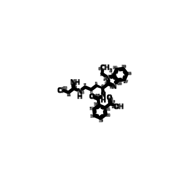 CCn1c([C@H](CCCNC(=N)CCl)NC(=O)c2ccccc2C(=O)O)nc2ccccc21